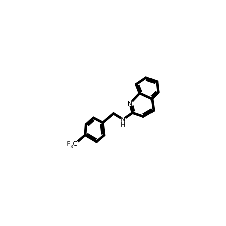 FC(F)(F)c1ccc(CNc2ccc3ccccc3n2)cc1